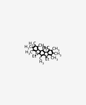 CCn1c2c(C)c(C)c(C)c(C)c2c2c(C)c3c4c(C)c(C)c(C)c(C)c4n(CC)c3c(C)c21